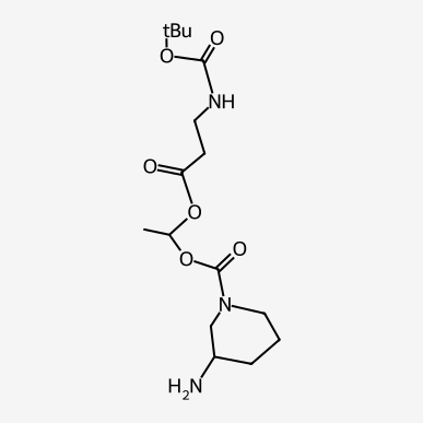 CC(OC(=O)CCNC(=O)OC(C)(C)C)OC(=O)N1CCCC(N)C1